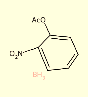 B.CC(=O)Oc1ccccc1[N+](=O)[O-]